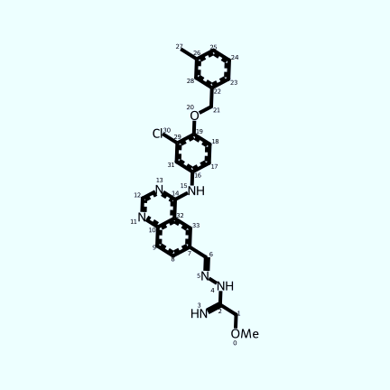 COCC(=N)N/N=C/c1ccc2ncnc(Nc3ccc(OCc4cccc(C)c4)c(Cl)c3)c2c1